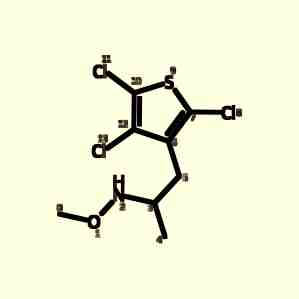 CONC(C)Cc1c(Cl)sc(Cl)c1Cl